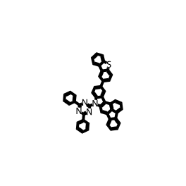 c1ccc(-c2nc(-c3ccccc3)nc(-n3c4ccc(-c5ccc6sc7ccccc7c6c5)cc4c4c5cccc6c5c(cc43)-c3ccccc3-6)n2)cc1